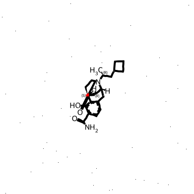 C[C@H](CC1CCC1)N1CC[C@]23CC(=O)CC[C@H]2[C@H]1Cc1ccc(C(N)=O)c(O)c13